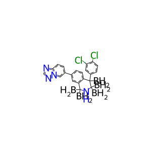 BC1(B)NC(B)(B)C(B)(c2ccc(Cl)c(Cl)c2)c2ccc(-c3ccc4ncnn4c3)cc21